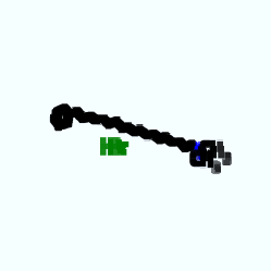 Br.CN(C)CCCCCCCCCCCCCCCCCCCc1ccccc1